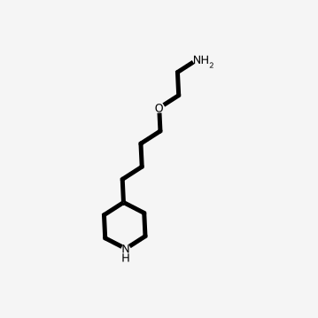 NCCOCCCC[C]1CCNCC1